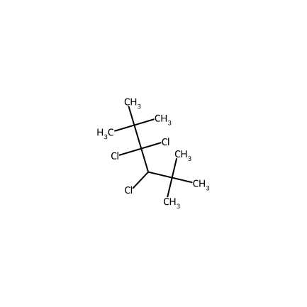 CC(C)(C)C(Cl)C(Cl)(Cl)C(C)(C)C